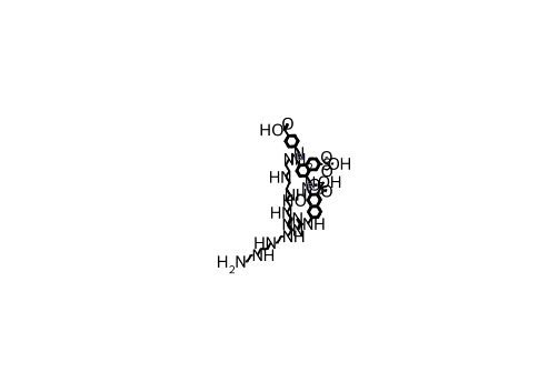 NCCNCCNCCNc1nc(NCCNCCNCCN)nc(Nc2ccc3cc(S(=O)(=O)O)c(/N=N/c4ccc(/N=N/c5ccc(C(=O)O)cc5)c5ccc(S(=O)(=O)O)cc45)c(O)c3c2)n1